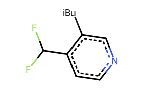 CCC(C)c1cnccc1C(F)F